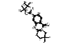 CC1(C)CCc2nc3cc(B4OC(C)(C)C(C)(C)O4)ccc3c(=O)n2C1